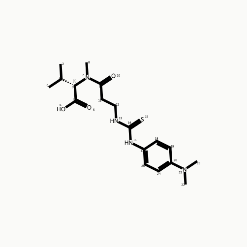 CC(C)[C@@H](C(=O)O)N(C)C(=O)CCNC(=S)Nc1ccc(N(C)C)cc1